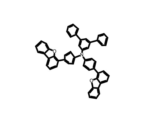 c1ccc(-c2cc(-c3ccccc3)cc(N(c3ccc(-c4cccc5c4oc4ccccc45)cc3)c3ccc(-c4cccc5c4oc4ccccc45)cc3)c2)cc1